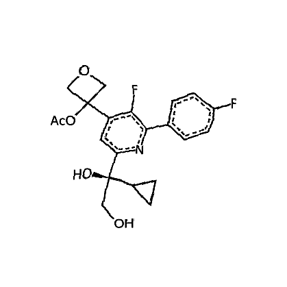 CC(=O)OC1(c2cc([C@@](O)(CO)C3CC3)nc(-c3ccc(F)cc3)c2F)COC1